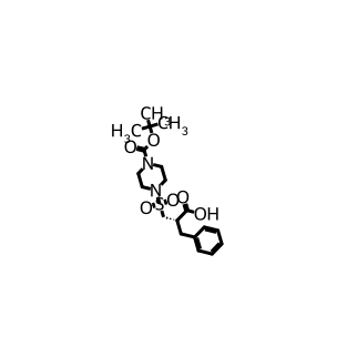 CC(C)(C)OC(=O)N1CCN(S(=O)(=O)C[C@@H](Cc2ccccc2)C(=O)O)CC1